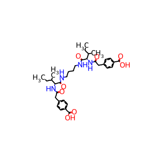 CCC(C)[C@H](NC(=O)Cc1ccc(C(=O)O)cc1)C(=O)NCCCCNC(=O)[C@@H](NC(=O)Cc1ccc(C(=O)O)cc1)C(C)CC